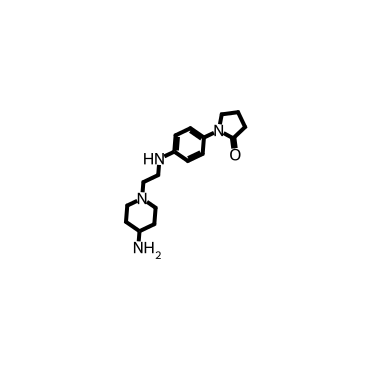 NC1CCN(CCNc2ccc(N3CCCC3=O)cc2)CC1